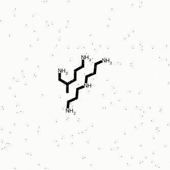 CC(CN)CCCN.NCCCNCCCN